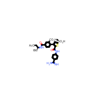 CC(=O)OC[C@@H](NC(=O)c1ccc(-c2ccsc2C(=O)Nc2ccc(C(=N)N)cc2)c(C(=O)O)c1)C(C)(C)C.CS(=O)(=O)O